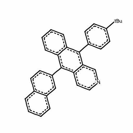 CC(C)(C)c1ccc(-c2c3ccccc3c(-c3ccc4ccccc4c3)c3ccncc23)cc1